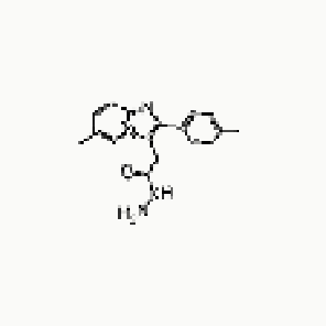 Cc1ccc(-c2nc3ccc(C)cn3c2CC(=O)NN)cc1